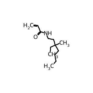 C=CC(=O)NCCC(C)(CC)CCCC